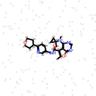 Cc1oc2ncnc(N(C)C3(C)CC3)c2c1C(=O)Nc1ccc(C2CCOCC2)nc1